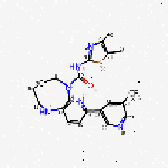 Cc1nc(NC(=O)N2CCCCNc3ccc(-c4cncc(C(F)(F)F)c4)nc32)sc1C